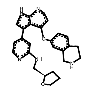 c1cc(-c2c[nH]c3nccc(Oc4ccc5c(c4)CNCC5)c23)cc(NC[C@H]2CCCO2)n1